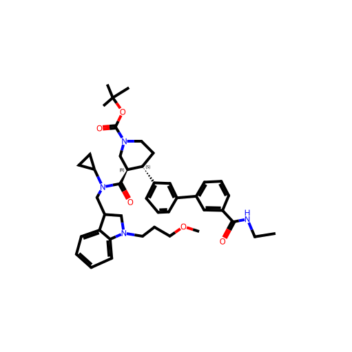 CCNC(=O)c1cccc(-c2cccc([C@H]3CCN(C(=O)OC(C)(C)C)C[C@@H]3C(=O)N(CC3CN(CCCOC)c4ccccc43)C3CC3)c2)c1